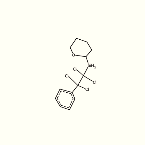 ClC(Cl)([SiH2]C1CCCCO1)C(Cl)(Cl)c1ccccc1